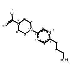 CCCCc1cnc(N2CCN(C(=O)O)CC2)cn1